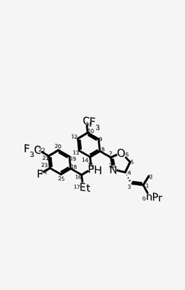 CCC/C(C)=C/[C@H]1COC(c2cc(C(F)(F)F)ccc2PC(CC)c2ccc(C(F)(F)F)c(F)c2)=N1